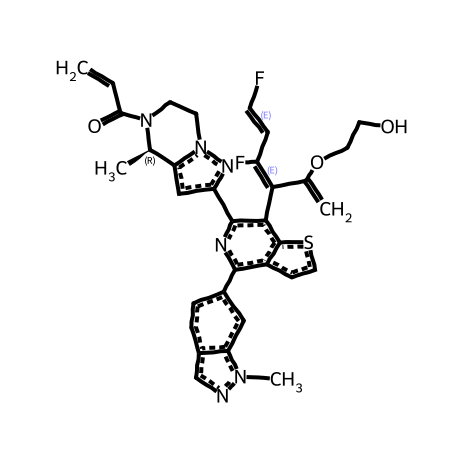 C=CC(=O)N1CCn2nc(-c3nc(-c4ccc5cnn(C)c5c4)c4ccsc4c3/C(C(=C)OCCO)=C(F)/C=C/F)cc2[C@H]1C